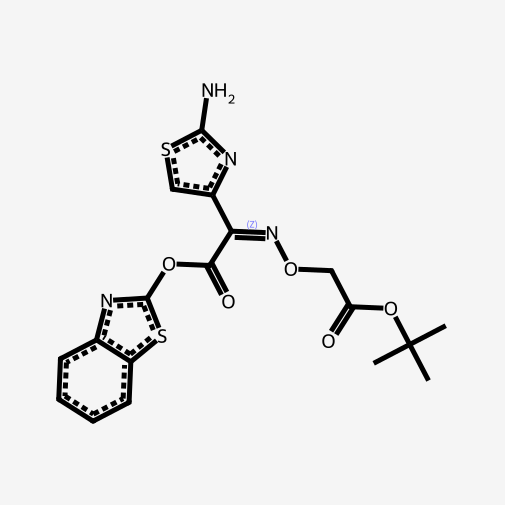 CC(C)(C)OC(=O)CO/N=C(\C(=O)Oc1nc2ccccc2s1)c1csc(N)n1